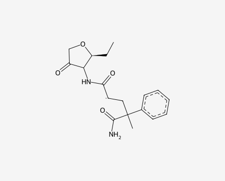 CC[C@@H]1OCC(=O)C1NC(=O)[CH]CC(C)(C(N)=O)c1ccccc1